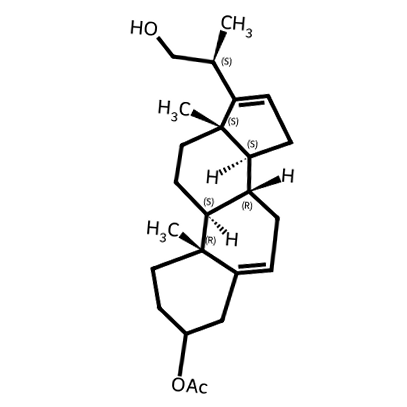 CC(=O)OC1CC[C@@]2(C)C(=CC[C@@H]3[C@@H]2CC[C@]2(C)C([C@H](C)CO)=CC[C@@H]32)C1